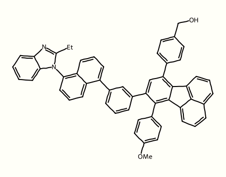 CCc1nc2ccccc2n1-c1cccc2c(-c3cccc(-c4cc(-c5ccc(CO)cc5)c5c(c4-c4ccc(OC)cc4)-c4cccc6cccc-5c46)c3)cccc12